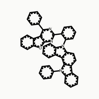 c1ccc(-c2nc(-c3ccccc3-n3c4ccccc4c4c3ccc3c5ccccc5n(-c5ccccc5)c34)nc3oc4ccccc4c23)cc1